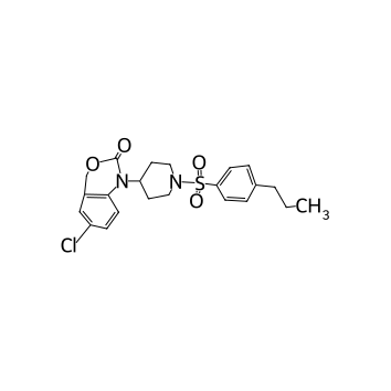 CCCc1ccc(S(=O)(=O)N2CCC(N3C(=O)OCc4cc(Cl)ccc43)CC2)cc1